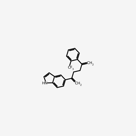 C=C(CCC(=C)c1ccccc1C(F)(F)F)c1ccc2[nH]ccc2c1